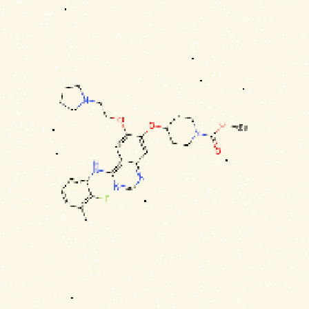 Cc1cccc(Nc2ncnc3cc(OC4CCN(C(=O)OC(C)(C)C)CC4)c(OCCN4CCCC4)cc23)c1F